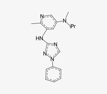 Cc1ncc(N(C)C(C)C)cc1Nc1ncn(-c2ccccc2)n1